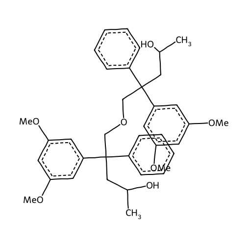 COc1cc(OC)cc(C(COCC(CC(C)O)(c2ccccc2)c2cc(OC)cc(OC)c2)(CC(C)O)c2ccccc2)c1